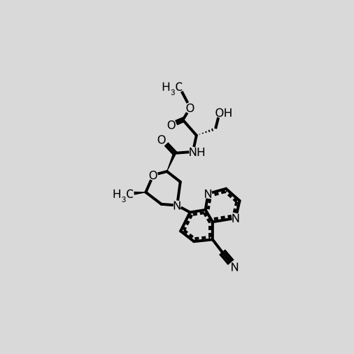 COC(=O)[C@H](CO)NC(=O)[C@H]1CN(c2ccc(C#N)c3nccnc23)C[C@@H](C)O1